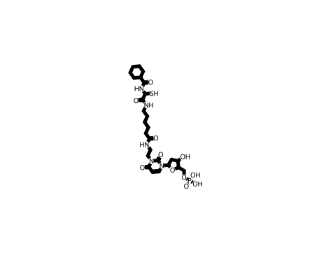 O=C(CCCCCNC(=O)C(S)NC(=O)C1CCCCC1)NCCn1c(=O)ccn(C2CC(O)C(COP(=O)(O)O)O2)c1=O